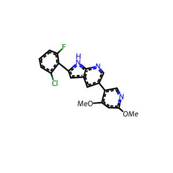 COc1cc(OC)c(-c2cnc3[nH]c(-c4c(F)cccc4Cl)cc3c2)cn1